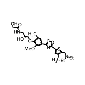 CCN(CC)Cc1sc(-c2nc(-c3cc(C)c(OC[C@@H](O)CNC(=O)CO)c(OC)c3)no2)cc1C